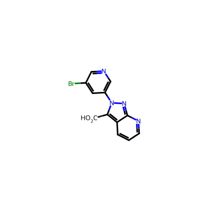 O=C(O)c1c2cccnc2nn1-c1cncc(Br)c1